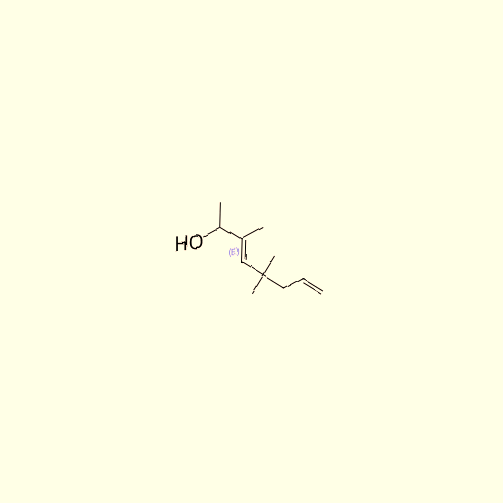 C=CCC(C)(C)/C=C(\C)C(C)O